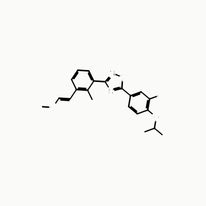 COC=Cc1cccc(-c2nsc(-c3ccc(OC(C)C)c(Cl)c3)n2)c1C